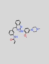 C=CC(=O)Nc1cccc(Cc2nc(Nc3ccc(N4CCN(C)CC4)cc3OC)nc3ccccc23)c1